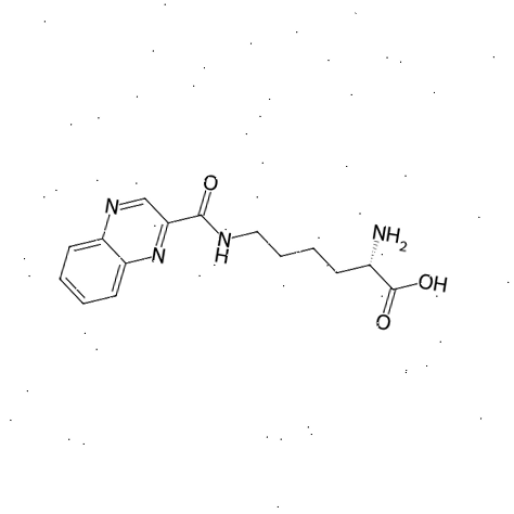 N[C@@H](CCCCNC(=O)c1cnc2ccccc2n1)C(=O)O